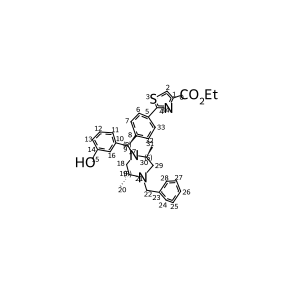 CCOC(=O)c1csc(-c2ccc([C@H](c3cccc(O)c3)N3C[C@@H](C)N(Cc4ccccc4)C[C@@H]3C)cc2)n1